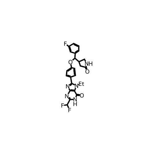 CCn1c(-c2ccc(OC(c3cccc(F)c3)C3CNC(=O)C3)cc2)nc2nc(C(F)F)[nH]c(=O)c21